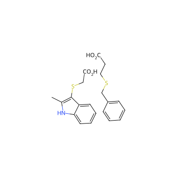 Cc1[nH]c2ccccc2c1SCC(=O)O.O=C(O)CCSCc1ccccc1